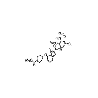 COC(=O)N1CCC(Oc2cccc3cc(C(=O)Nc4cc(C(C)(C)C)cc(NS(C)(=O)=O)c4OC)n(C)c23)CC1